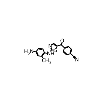 Cc1cc(N)ccc1Nc1ncc(C(=O)c2ccc(C#N)cc2)s1